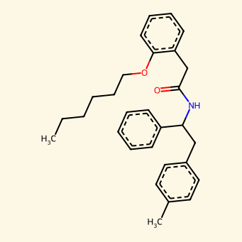 CCCCCCOc1ccccc1CC(=O)NC(Cc1ccc(C)cc1)c1ccccc1